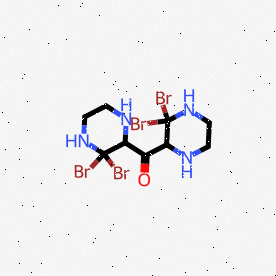 O=C(C1NCCNC1(Br)Br)C1NCCNC1(Br)Br